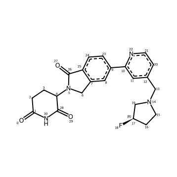 O=C1CCC(N2Cc3cc(-c4cc(CN5CC[C@@H](F)C5)ccn4)ccc3C2=O)C(=O)N1